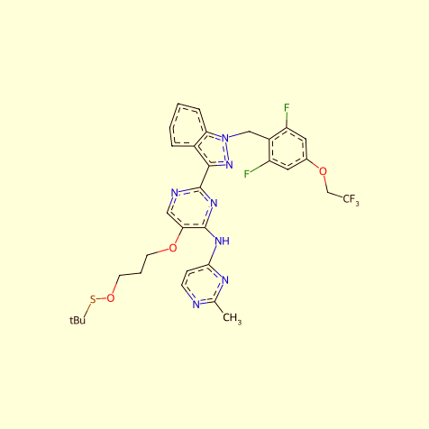 Cc1nccc(Nc2nc(-c3nn(Cc4c(F)cc(OCC(F)(F)F)cc4F)c4ccccc34)ncc2OCCCOSC(C)(C)C)n1